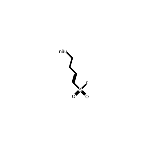 CCCCCCC=CS(=O)(=O)F